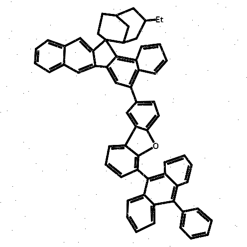 CCC1CC2CCC3(c4cc5ccccc5cc4-c4cc(-c5ccc6oc7c(-c8c9ccccc9c(-c9ccccc9)c9ccccc89)cccc7c6c5)c5ccccc5c43)C(C1)C2